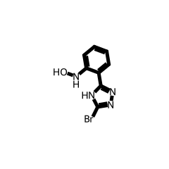 ONc1ccccc1-c1nnc(Br)[nH]1